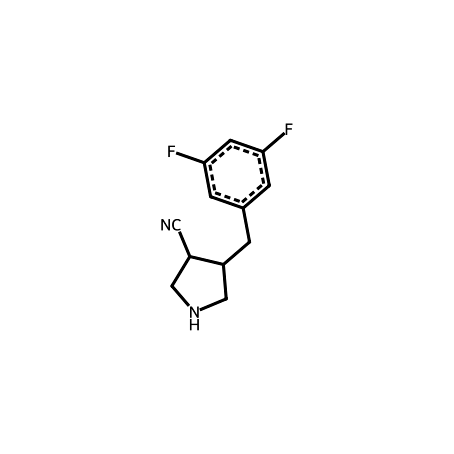 N#CC1CNCC1Cc1cc(F)cc(F)c1